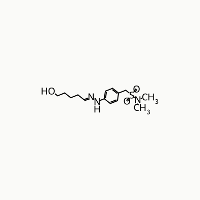 CN(C)S(=O)(=O)Cc1ccc(NN=CCCCCO)cc1